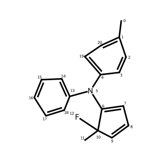 Cc1ccc(N(C2=CC=CC2(C)F)c2ccccc2)cc1